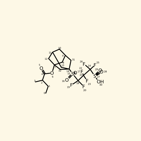 CCC(C)C(=O)OC12CC3CC(C1)CC(S(=O)(=O)C(F)(F)C(F)(F)C(F)(F)S(=O)(=O)O)(C3)C2